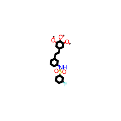 COc1cc(C=Cc2cccc(NS(=O)(=O)c3cccc(F)c3)c2)cc(OC)c1OC